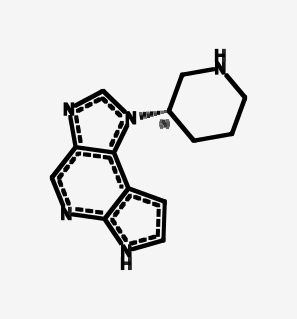 c1cc2c(ncc3ncn([C@H]4CCCNC4)c32)[nH]1